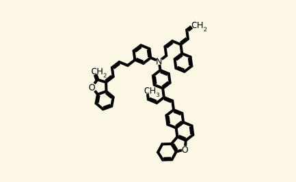 C=C/C=C(\C=C/CN(c1ccc(C(/C=C\C)=C/c2ccc3c(ccc4oc5c(c43)CCC=C5)c2)cc1)c1cccc(C/C=C\C=c2/c(=C)oc3ccccc23)c1)c1ccccc1